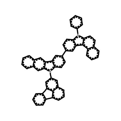 c1ccc(-n2c3ccc(-c4ccc5c(c4)c4cc6ccccc6cc4n5-c4cc5c6c(cccc6c4)-c4ccccc4-5)cc3c3c4ccccc4ccc32)cc1